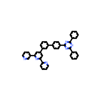 c1ccc(-c2nc(-c3ccccc3)nc(-c3ccc(-c4cccc(-c5cc(-c6cccnc6)nc(-c6ccccn6)c5)c4)cc3)n2)cc1